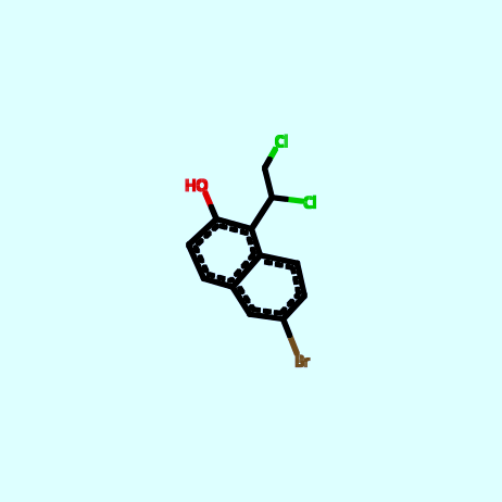 Oc1ccc2cc(Br)ccc2c1C(Cl)CCl